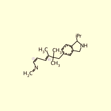 C=N/C=C\C=C(/C)C(C)(C)Cc1ccc2c(c1)CNC2C(C)C